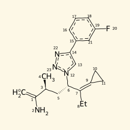 C=C(N)[C@@H](C)C[C@@H](C(CC)=C1CC1)n1cc(-c2cccc(F)c2)nn1